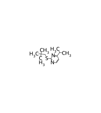 CC(C)c1ccnc(SCC(C)(C)C)n1